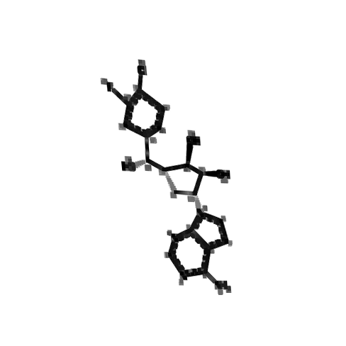 Nc1ncnc2c1ccn2[C@@H]1C[C@H]([C@H](O)c2ccc(Cl)c(F)c2)[C@@H](O)[C@H]1O